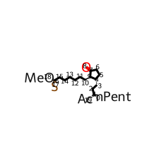 CCCCCC(CC[C@H]1CCC(=O)[C@@H]1CCCCCCC(=S)OC)C(C)=O